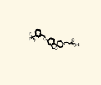 O=C(O)CCN1CCC2(CC1)OCc1cc(OCc3cccc(C(F)(F)F)c3)ccc12